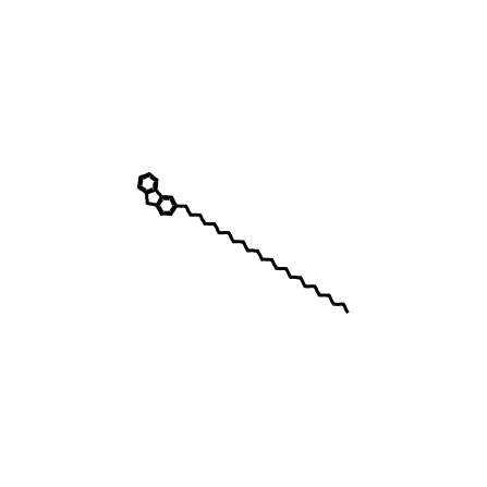 CCCCCCCCCCCCCCCCCCCCCCCCc1ccc2c(c1)-c1ccccc1C2